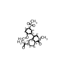 COc1ccc(S(C)(=O)=O)cc1-c1cn(C)c(=O)c2c1CN(C(C)=O)CC2